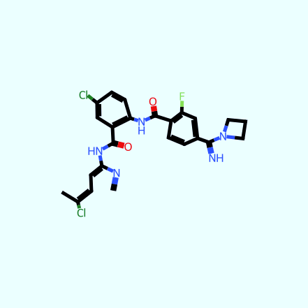 C=N/C(=C\C=C(/C)Cl)NC(=O)c1cc(Cl)ccc1NC(=O)c1ccc(C(=N)N2CCC2)cc1F